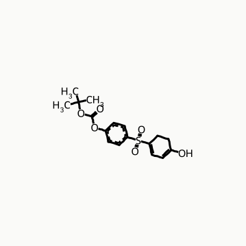 CC(C)(C)OC(=O)Oc1ccc(S(=O)(=O)C2=CC=C(O)CC2)cc1